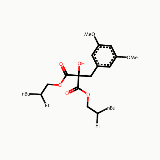 CCCCC(CC)COC(=O)C(O)(Cc1cc(OC)cc(OC)c1)C(=O)OCC(CC)CCCC